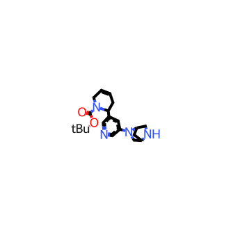 CC(C)(C)OC(=O)N1CC=CCC1c1cncc(N2CC3CC2CN3)c1